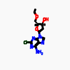 CCOC[C@H]1OC(n2cnc3c(N)nc(Cl)nc32)C[C@@H]1O